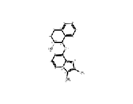 Cc1nc2c(O[C@@H]3c4ccccc4CC[C@H]3O)cccn2c1C